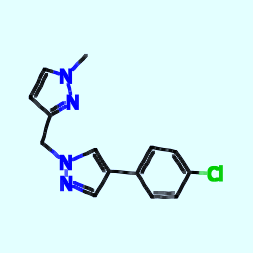 Cn1ccc(Cn2cc(-c3ccc(Cl)cc3)cn2)n1